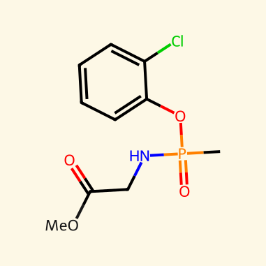 COC(=O)CNP(C)(=O)Oc1ccccc1Cl